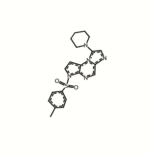 Cc1ccc(S(=O)(=O)n2ccc3c2ncc2ncc(N4CCCCC4)n23)cc1